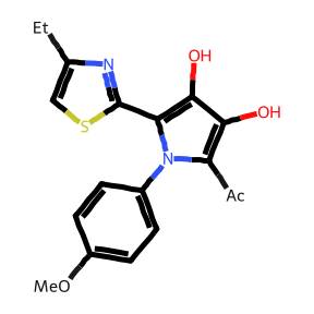 CCc1csc(-c2c(O)c(O)c(C(C)=O)n2-c2ccc(OC)cc2)n1